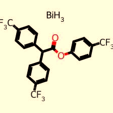 O=C(Oc1ccc(C(F)(F)F)cc1)C(c1ccc(C(F)(F)F)cc1)c1ccc(C(F)(F)F)cc1.[BiH3]